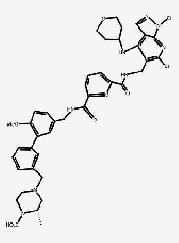 CCc1nc2c(cnn2CC)c(NC2CCOCC2)c1CNC(=O)c1cccc(C(=O)NCc2ccc(OC)c(-c3cccc(CN4CCN(C(=O)O)[C@@H](C)C4)c3)c2)n1